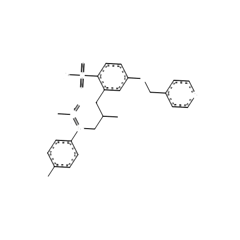 CCc1ccc(/[N+](CC(C)Cc2cc(OCc3ccncc3)ccc2S(N)(=O)=O)=[SH](\C)=O)cc1